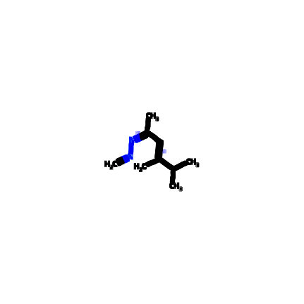 C=N/N=C(C)\C=C(/C)C(C)C